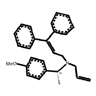 C=CCN(CC=C(c1ccccc1)c1ccccc1)[C@H](C)c1ccc(OC)cc1